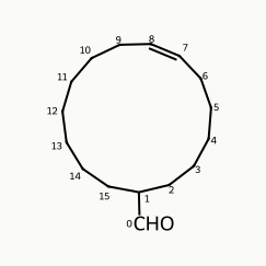 O=CC1CCCCCC=CCCCCCCC1